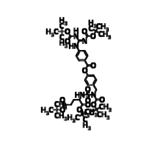 CC(C)(C)OC(=O)CCC(NS(=O)(=O)N(Cc1ccc(OC(=O)c2ccc(NC(=NC(=O)OC(C)(C)C)NC(=O)OC(C)(C)C)cc2)cc1)C(=O)OC(C)(C)C)C(=O)OC(C)(C)C